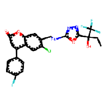 CCC(O)(c1nnc(NCc2cc3oc(=O)cc(-c4ccc(F)cc4)c3cc2Cl)o1)C(F)(F)F